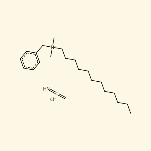 C=C=N.CCCCCCCCCCCC[N+](C)(C)Cc1ccccc1.[Cl-]